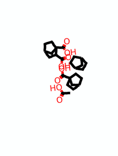 C1CC2CCC1C2.CC(=O)O.O=C(O)C12CCC(CC1)C2.O=C(O)C1CC2CCC1(C(=O)O)C2